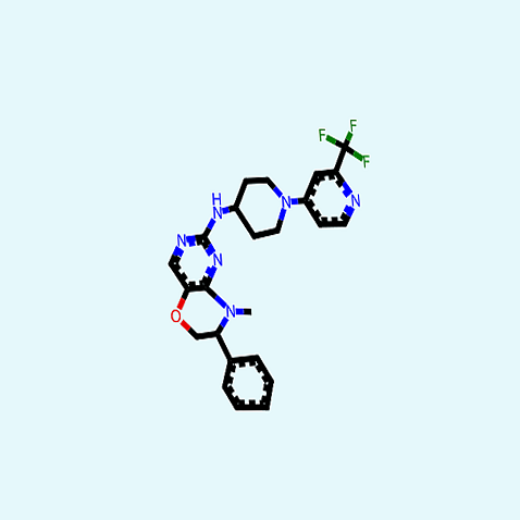 CN1c2nc(NC3CCN(c4ccnc(C(F)(F)F)c4)CC3)ncc2OCC1c1ccccc1